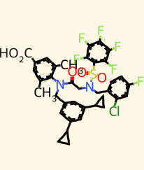 Cc1cc(C(=O)O)cc(C)c1N(Cc1cc(C2CC2)cc(C2CC2)c1)C(=O)CN(Cc1ccc(F)cc1Cl)S(=O)(=O)c1c(F)c(F)c(F)c(F)c1F